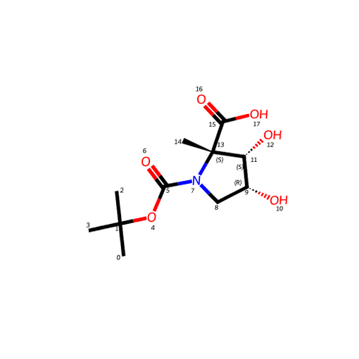 CC(C)(C)OC(=O)N1C[C@@H](O)[C@@H](O)[C@@]1(C)C(=O)O